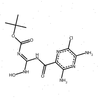 CC(C)(C)OC(=O)/N=C(/NO)NC(=O)c1nc(Cl)c(N)nc1N